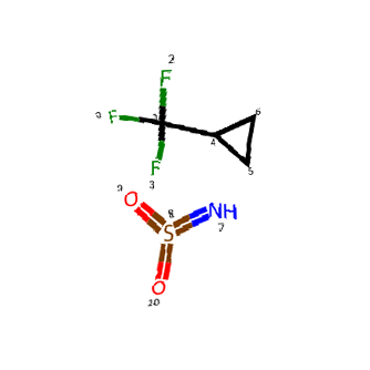 FC(F)(F)C1CC1.N=S(=O)=O